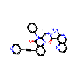 C[C@H](NC(=O)c1c(N)ncc2cccnc12)c1nc2cccc(C#Cc3ccncc3)c2c(=O)n1-c1ccccc1